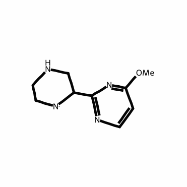 COc1ccnc(C2CNCC[N]2)n1